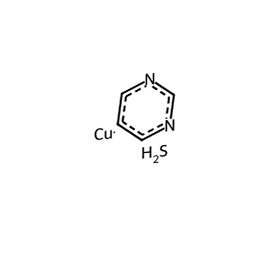 S.[Cu].c1cncnc1